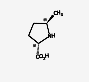 C[C@@H]1CC[C@@H](C(=O)O)N1